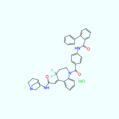 Cl.O=C(C=C1c2ccccc2N(C(=O)c2ccc(NC(=O)c3ccccc3-c3ccccc3)cc2)CCC1(F)F)NC1CN2CCC1CC2